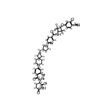 CC1(C)C(NC(=O)c2ccc(N3CC[C@@H](CN4CC5(CCN(c6ccc7c(=O)n(C8CCC(=O)NC8=O)nnc7c6)CC5)C4)C3)nc2)C(C)(C)C1Oc1ccc(C#N)c(Cl)c1